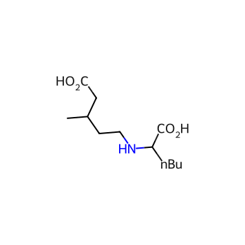 CCCCC(NCCC(C)CC(=O)O)C(=O)O